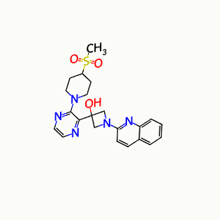 CS(=O)(=O)C1CCN(c2nccnc2C2(O)CN(c3ccc4ccccc4n3)C2)CC1